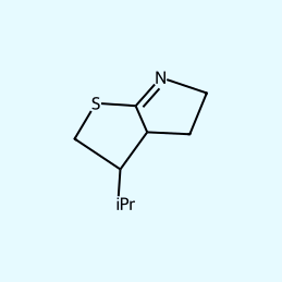 CC(C)C1CSC2=NCCC21